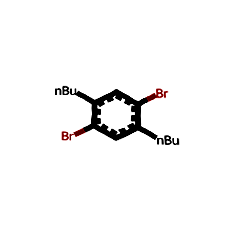 CCCCc1cc(Br)c(CCCC)cc1Br